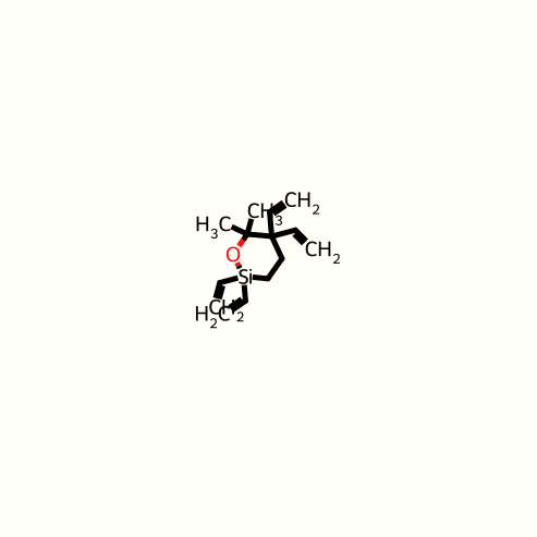 C=CC1(C=C)CC[Si](C=C)(C=C)OC1(C)C